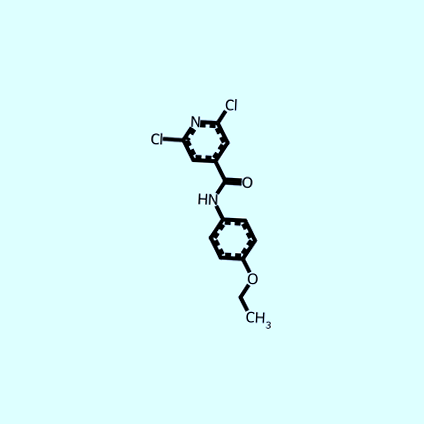 CCOc1ccc(NC(=O)c2cc(Cl)nc(Cl)c2)cc1